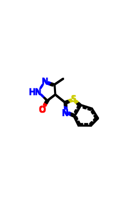 CC1=NNC(=O)C1c1nc2ccccc2s1